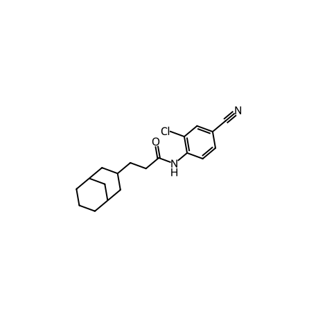 N#Cc1ccc(NC(=O)CCC2CC3CCCC(C3)C2)c(Cl)c1